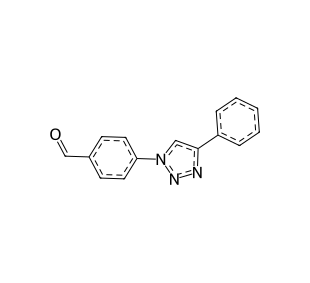 O=Cc1ccc(-n2cc(-c3ccccc3)nn2)cc1